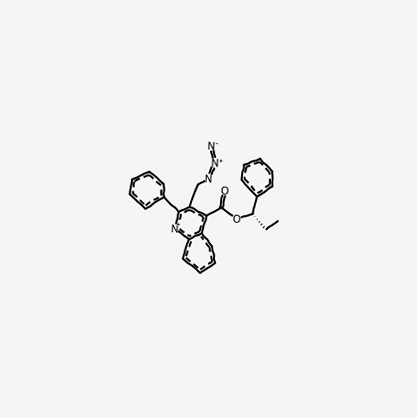 CC[C@H](OC(=O)c1c(CN=[N+]=[N-])c(-c2ccccc2)nc2ccccc12)c1ccccc1